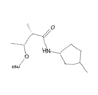 CC1CCC(NC(=O)[C@@H](C)C(C)OC(C)(C)C)C1